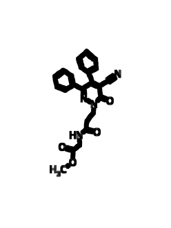 COC(=O)CNC(=O)CCn1nc(-c2ccccc2)c(-c2ccccc2)c(C#N)c1=O